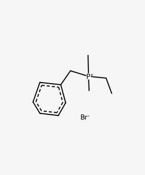 CC[P+](C)(C)Cc1ccccc1.[Br-]